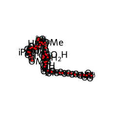 C=C1C[C@H]2[C@H](O)N(C(=O)OCc3ccc(NC(=O)[C@H](C)NC(=O)[C@@H](NC(=O)CCOCCOC)C(C)C)cc3)c3cc(OCCCOc4cc5c(cc4OC)C(=O)N4CC(=C)C(Cc6ccc(NC(=O)[C@H](C)NC(=O)[C@@H](NC(=O)CCOCCOCCOCCOCCOCCOCCOCCOCCNC(=O)CCN7C(=O)C=CC7=O)C(C)C)cc6)[C@H]4[C@H](O)N5C(=O)O)c(OC)cc3C(=O)N2C1